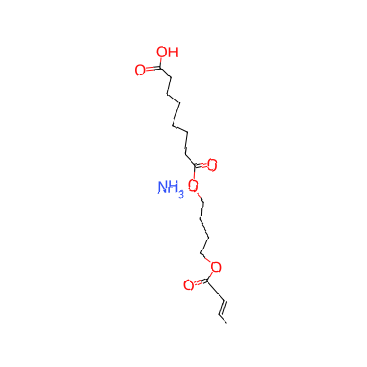 CC=CC(=O)OCCCCOC(=O)CCCCCCC(=O)O.N